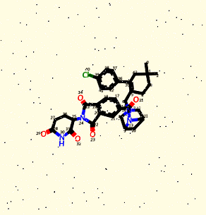 CC1(C)CCC(CN2CC3CC(C2)N3C(=O)c2ccc3c(c2)C(=O)N(C2CCC(=O)NC2=O)C3=O)=C(c2ccc(Cl)cc2)C1